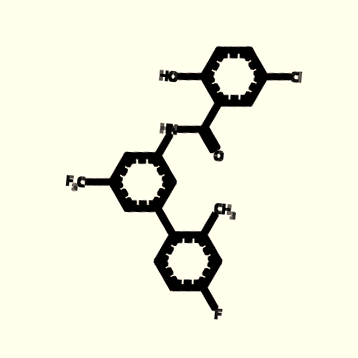 Cc1cc(F)ccc1-c1cc(NC(=O)c2cc(Cl)ccc2O)cc(C(F)(F)F)c1